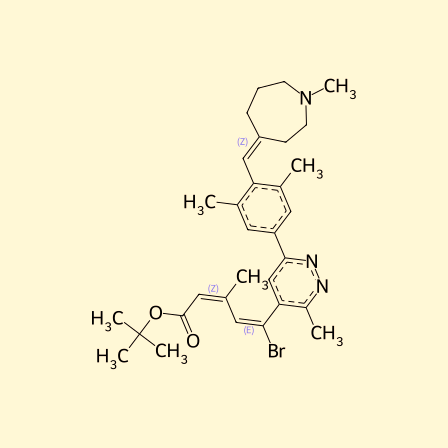 CC(=C/C(=O)OC(C)(C)C)/C=C(/Br)c1cc(-c2cc(C)c(/C=C3/CCCN(C)CC3)c(C)c2)nnc1C